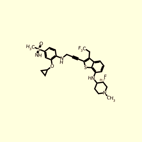 CN1CCC(Nc2cccc3c(CC(F)(F)F)c(C#CCNc4ccc(S(C)(=N)=O)cc4OC4CC4)sc23)[C@H](F)C1